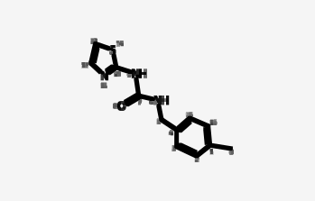 Cc1ccc(CNC(=O)Nc2nccs2)cc1